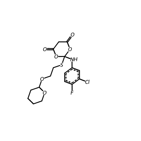 O=C1CC(=O)OC(Nc2ccc(F)c(Cl)c2)(SCCOC2CCCCO2)O1